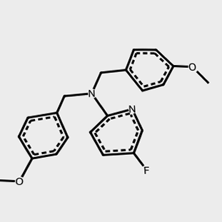 COc1ccc(CN(Cc2ccc(OC)cc2)c2ccc(F)cn2)cc1